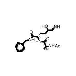 CC(=O)N[C@@H](C)C(=O)N[C@@H](CCC(O)C=N)C(=O)NCc1ccccc1